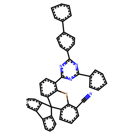 N#Cc1cccc2c1Sc1c(-c3nc(-c4ccccc4)nc(-c4ccc(-c5ccccc5)cc4)n3)cccc1C21c2ccccc2-c2ccccc21